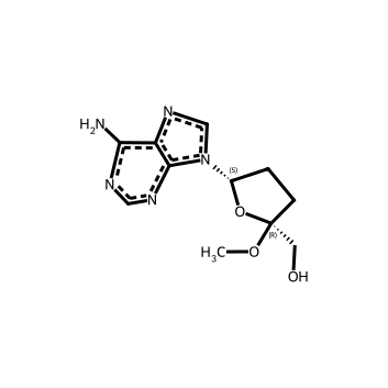 CO[C@]1(CO)CC[C@@H](n2cnc3c(N)ncnc32)O1